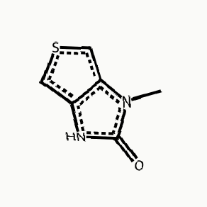 Cn1c(=O)[nH]c2cscc21